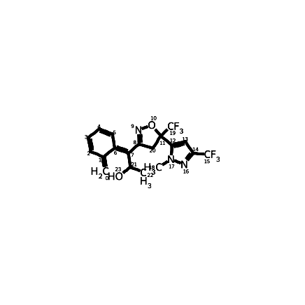 C=c1cccc/c1=C(\C1=NOC(c2cc(C(F)(F)F)nn2C)(C(F)(F)F)C1)C(C)O